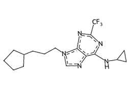 FC(F)(F)c1nc(NC2CC2)c2ncn(CCCC3CCCC3)c2n1